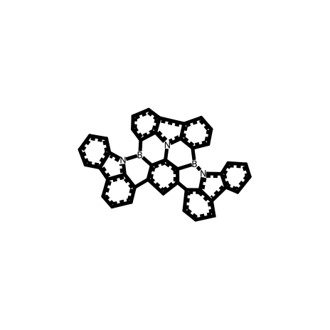 c1ccc2c(c1)c1cccc3c1n2B1c2c-3cc3c4c2-n2c5c1cccc5c1cccc(c12)B4n1c2ccccc2c2cccc-3c21